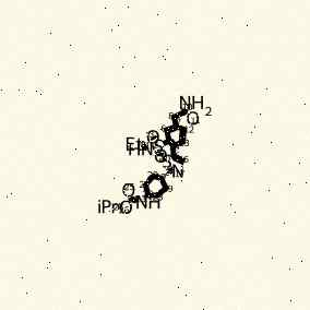 CCNS(=O)(=O)c1cc(CC(N)=O)ccc1-c1cnc([C@H]2CC[C@H](NC(=O)OC(C)C)CC2)s1